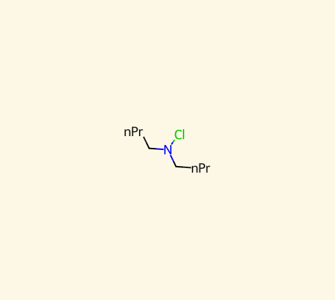 CCCCN(Cl)CCCC